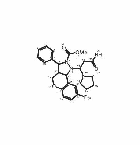 COC(=O)N1C(c2ccccc2)C2COc3ccc(F)cc3C2N1C(CC(N)=O)N1CCCC1